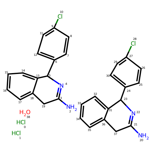 Cl.Cl.NC1=NC(c2ccc(Cl)cc2)c2ccccc2C1.NC1=NC(c2ccc(Cl)cc2)c2ccccc2C1.O